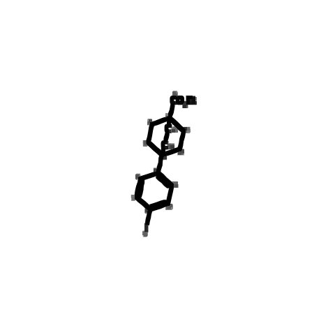 CCOC(=O)C12CCC(c3ccc(I)cc3)(CC1)CC2